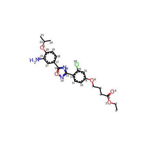 CCOC(=O)CCCOc1ccc(-c2noc(-c3ccc(OC(C)C)c(N)c3)n2)c(Cl)c1